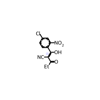 CCC(=O)/C(C#N)=C(\O)c1ccc(Cl)cc1[N+](=O)[O-]